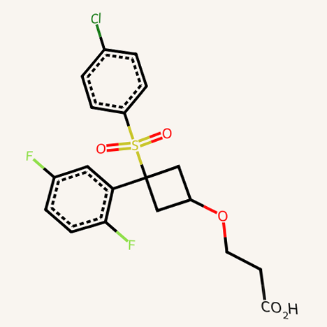 O=C(O)CCOC1CC(c2cc(F)ccc2F)(S(=O)(=O)c2ccc(Cl)cc2)C1